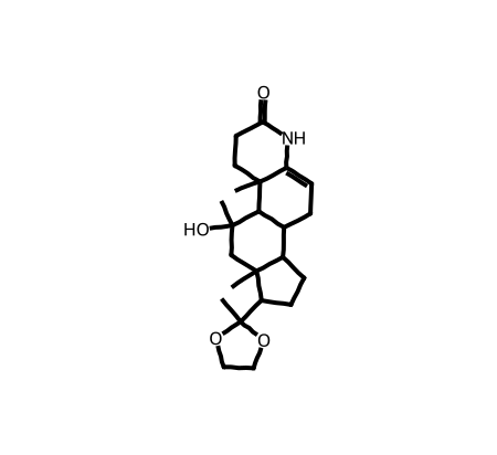 CC1(O)CC2(C)C(CCC2C2(C)OCCO2)C2CC=C3NC(=O)CCC3(C)C21